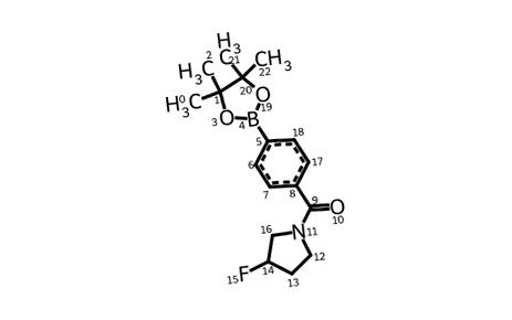 CC1(C)OB(c2ccc(C(=O)N3CCC(F)C3)cc2)OC1(C)C